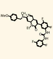 CCN1C(=O)C(c2cc(NC(=O)Nc3cc(F)ccc3F)c(F)cc2F)=CC2C=NC(N(C)Cc3ccc(OC)cc3)=CC21